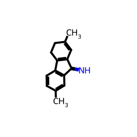 CC1=CC2=C(CC1)c1ccc(C)cc1C2=N